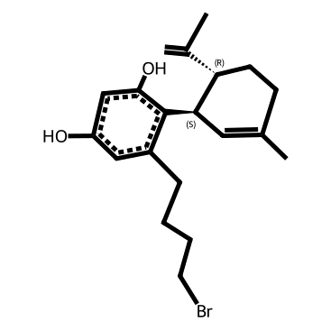 C=C(C)[C@@H]1CCC(C)=C[C@H]1c1c(O)cc(O)cc1CCCCBr